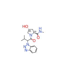 CNC(=O)[C@@H]1C[C@@H](O)CN1C(=O)C(C(C)C)n1nnc2ccccc21